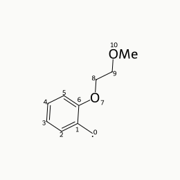 [CH2]c1ccccc1OCCOC